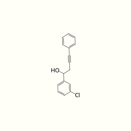 OC(CC#Cc1ccccc1)c1cccc(Cl)c1